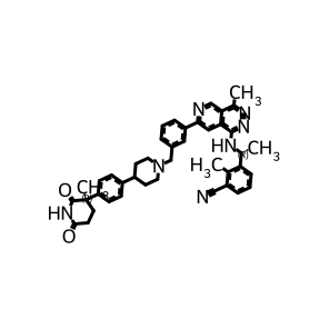 Cc1c(C#N)cccc1[C@@H](C)Nc1nnc(C)c2cnc(-c3cccc(CN4CCC(c5ccc([C@@]6(C)CCC(=O)NC6=O)cc5)CC4)c3)cc12